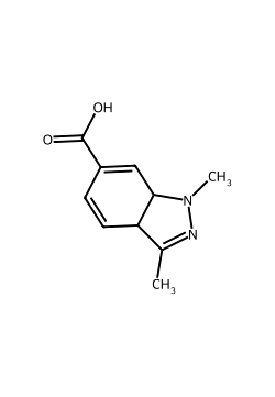 CC1=NN(C)C2C=C(C(=O)O)C=CC12